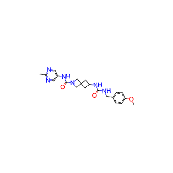 COc1ccc(CNC(=O)NC2CC3(C2)CN(C(=O)Nc2cnc(C)nc2)C3)cc1